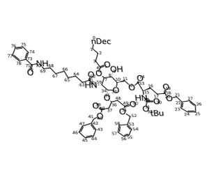 CCCCCCCCCCCCCC(=O)O[C@H]1[C@H](O)[C@@H](COC(=O)[C@@H](CCC(=O)OCc2ccccc2)NC(=O)OC(C)(C)C)O[C@H](OC(CC(=O)OCc2ccccc2)CC(=O)OCc2ccccc2)[C@@H]1NC(=O)CCCCCCCNC(=O)c1ccccc1